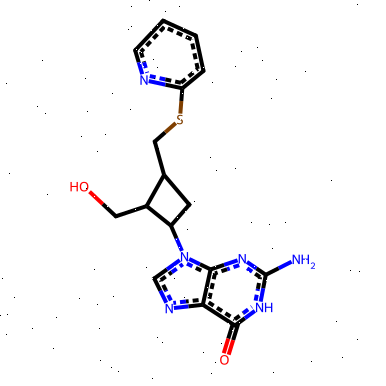 Nc1nc2c(ncn2C2CC(CSc3ccccn3)C2CO)c(=O)[nH]1